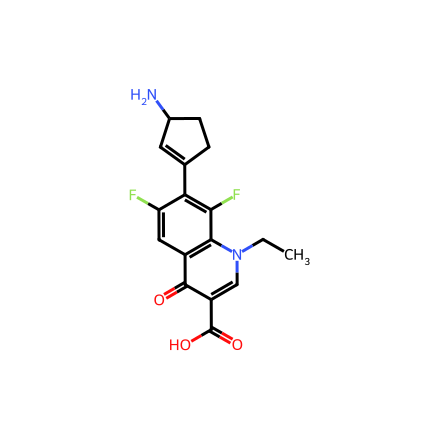 CCn1cc(C(=O)O)c(=O)c2cc(F)c(C3=CC(N)CC3)c(F)c21